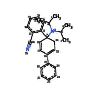 CC(C)N(C(C)C)C1(c2ccccc2C#N)C=CC(c2ccccc2)=CC1